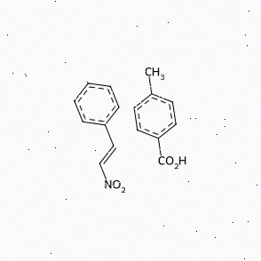 Cc1ccc(C(=O)O)cc1.O=[N+]([O-])C=Cc1ccccc1